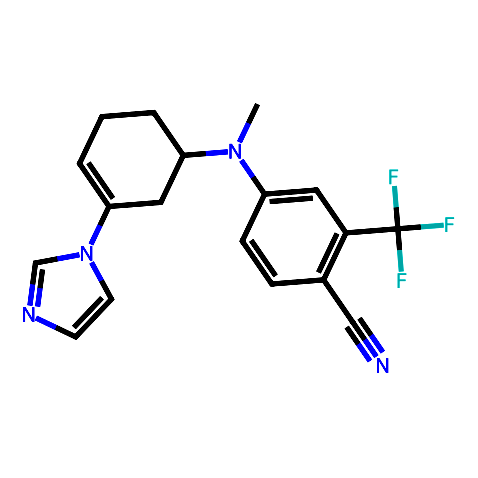 CN(c1ccc(C#N)c(C(F)(F)F)c1)C1CCC=C(n2ccnc2)C1